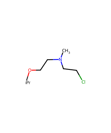 CC(C)OCCN(C)CCCl